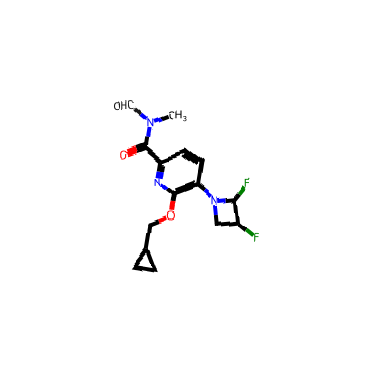 CN(C=O)C(=O)c1ccc(N2CC(F)C2F)c(OCC2CC2)n1